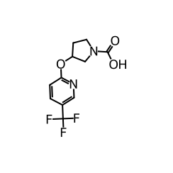 O=C(O)N1CCC(Oc2ccc(C(F)(F)F)cn2)C1